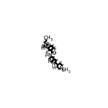 CCCS(=O)(=O)Nc1ccc(F)c(C(=O)Nc2cnc3[nH]c(C4=CCN(C)CC4)cc3c2)c1F